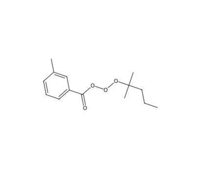 CCCC(C)(C)OOOC(=O)c1cccc(C)c1